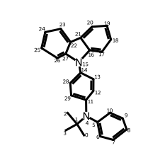 CC(C)(C)N(c1ccccc1)c1ccc(-n2c3ccccc3c3ccccc32)cc1